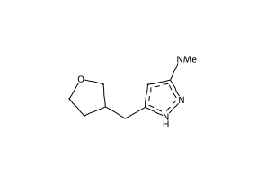 CNc1cc(CC2CCOC2)[nH]n1